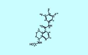 O=C(O)NC1CCOc2c(C(=O)Nc3cc(F)c(F)c(F)c3)cccc21